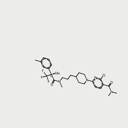 Cc1cccc([C@](O)(C(=O)N(C)CCCC2CCN(c3ccc(C(=O)N(C)C)c(Cl)n3)CC2)C(F)(F)F)c1